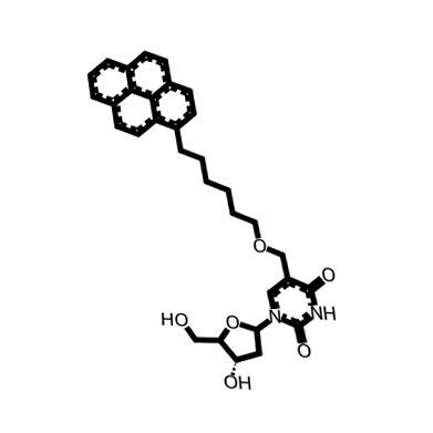 O=c1[nH]c(=O)n(C2C[C@H](O)C(CO)O2)cc1COCCCCCCc1ccc2ccc3cccc4ccc1c2c34